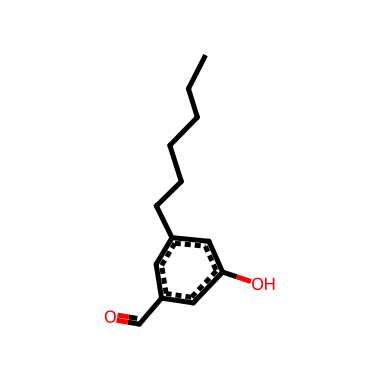 CCCCCCc1cc(O)cc(C=O)c1